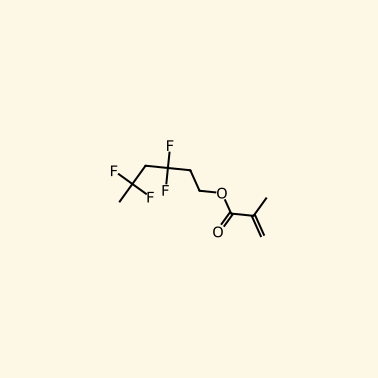 C=C(C)C(=O)OCCC(F)(F)CC(C)(F)F